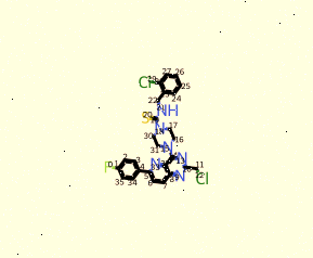 Fc1ccc(-c2ccc3nc(CCl)nc(N4CCN(C(=S)NCc5ccccc5Cl)CC4)c3n2)cc1